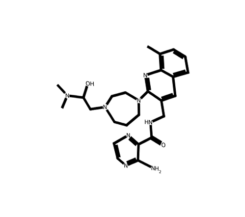 Cc1cccc2cc(CNC(=O)c3nccnc3N)c(N3CCCN(CC(O)N(C)C)CC3)nc12